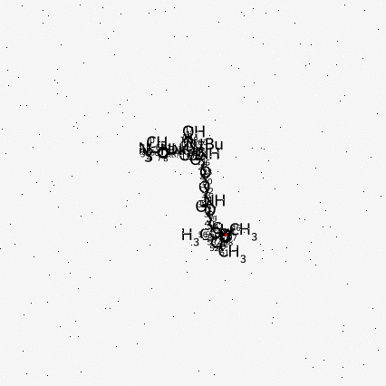 Cc1ncsc1-c1ccc(CNC(=O)C2C[C@@H](O)CN2C(=O)C(NC(=O)CCOCCOCCNC(=O)OCCCC2OC3OC4(C)CCC5C(C)CCC(C2C)C35OO4)C(C)(C)C)cc1